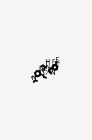 CCC[C@H]1C[C@H](N(C)C(C)C)CC[C@@H]1N1CC[C@@H](Nc2ccnc3ccc(C(F)(F)F)cc23)C1=O